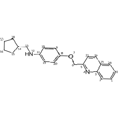 c1ccc2nc(COc3ccc(NCC4CCCC4)cc3)ccc2c1